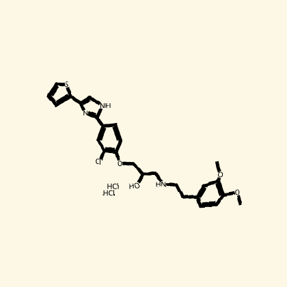 COc1ccc(CCNCC(O)COc2ccc(-c3nc(-c4cccs4)c[nH]3)cc2Cl)cc1OC.Cl.Cl